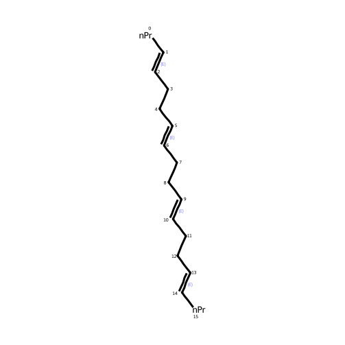 [CH2]CC/C=C/CC/C=C/CC/C=C/CC/C=C/CCC